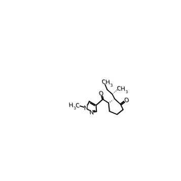 CC[C@H](C)[C@@H]1C(=O)CCCC1C(=O)c1cnn(C)c1